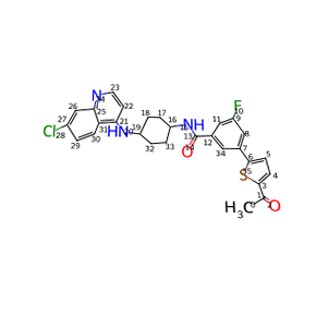 CC(=O)c1ccc(-c2cc(F)cc(C(=O)NC3CCC(Nc4ccnc5cc(Cl)ccc45)CC3)c2)s1